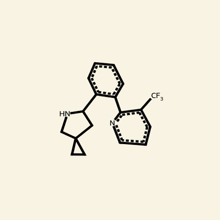 FC(F)(F)c1cccnc1-c1ccccc1C1CC2(CC2)CN1